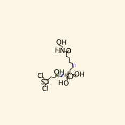 O=C(CCC/C=C\C[C@@H]1[C@@H](/C=C/[C@@H](O)CCc2cc(Cl)sc2Cl)[C@H](O)C[C@@H]1O)NCCO